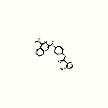 CN(C)c1nc(NC2CCC(NC(=O)c3sccc3Br)CC2)nc2c1CCCC2